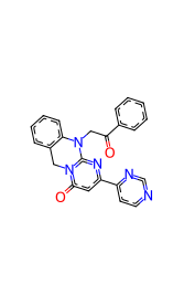 O=C(CN1c2ccccc2Cn2c1nc(-c1ccncn1)cc2=O)c1ccccc1